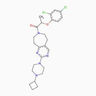 CC(Oc1ccc(Cl)cc1Cl)C(=O)N1CCc2cnc(N3CCN(C4CCC4)CC3)nc2CC1